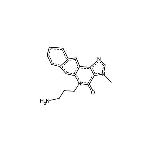 Cn1cnc2c3cc4ccccc4cc3n(CCCN)c(=O)c21